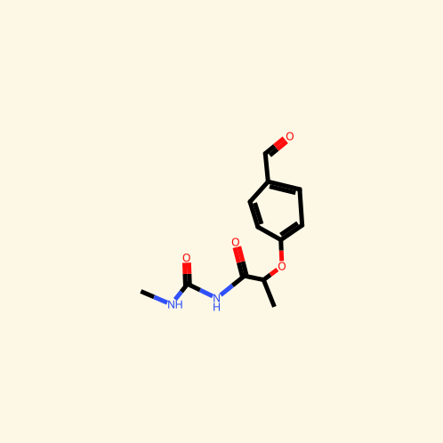 CNC(=O)NC(=O)C(C)Oc1ccc(C=O)cc1